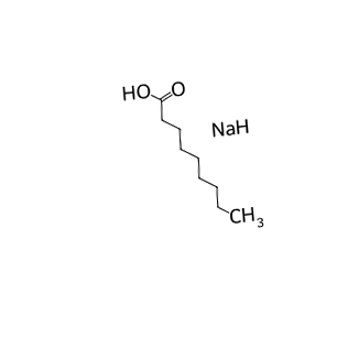 CCCCCCCCC(=O)O.[NaH]